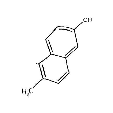 Cc1[c]c2ccc(O)cc2cc1